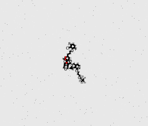 Cc1c(CN(C(=O)C2=C(c3ccc(CCCOc4c(F)ccc(F)c4Cl)cc3)CC3COCC2N3C(=O)OC(C)(C)C)C2CC2)ccnc1OCCCO[Si](C)(C)C(C)(C)C